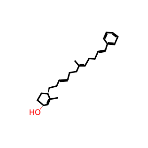 CC1=C[C@H](O)CC[C@H]1CCC=CCC/C(C)=C/CC/C=C/c1ccccc1